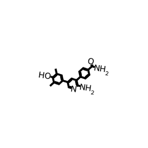 Cc1cc(-c2cnc(N)c(-c3ccc(C(N)=O)cc3)c2)cc(C)c1O